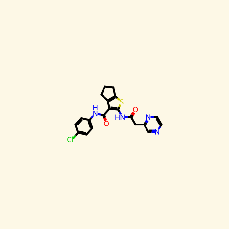 O=C(Cc1cnccn1)Nc1sc2c(c1C(=O)Nc1ccc(Cl)cc1)CCC2